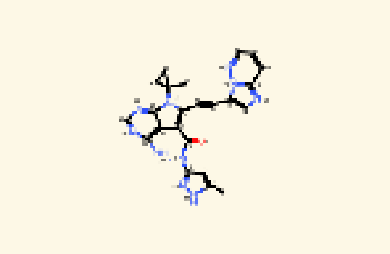 Cc1cc(NC(=O)c2c(C#Cc3cnc4cccnn34)n(C3(C)CC3)c3ncnc(N)c23)n[nH]1